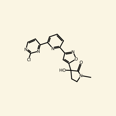 CN1CCC(O)(c2cc(-c3cccc(-c4ccnc(Cl)n4)n3)no2)C1=O